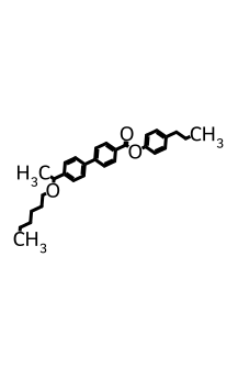 CCCCCCOC(C)c1ccc(-c2ccc(C(=O)Oc3ccc(CCC)cc3)cc2)cc1